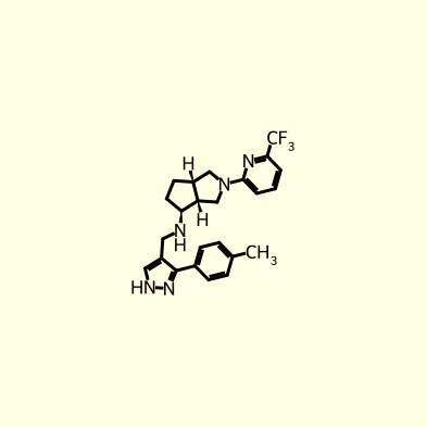 Cc1ccc(-c2n[nH]cc2CN[C@H]2CC[C@@H]3CN(c4cccc(C(F)(F)F)n4)C[C@@H]32)cc1